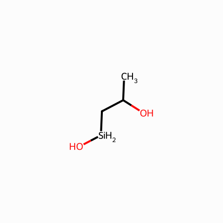 CC(O)C[SiH2]O